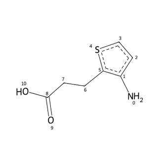 Nc1ccsc1CCC(=O)O